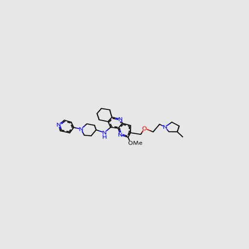 COc1nc2c(NC3CCN(c4ccncc4)CC3)c3c(nc2cc1COCCN1CCC(C)C1)CCCC3